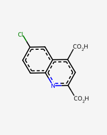 O=C(O)c1cc(C(=O)O)c2cc(Cl)ccc2n1